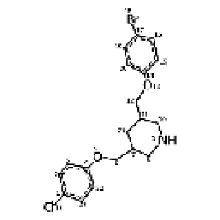 Clc1ccc(OCC2CNCC(COc3ccc(Br)cc3)C2)cc1